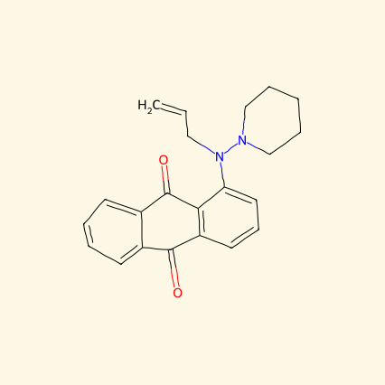 C=CCN(c1cccc2c1C(=O)c1ccccc1C2=O)N1CCCCC1